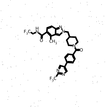 Cc1c(C(=O)NCC(F)(F)F)ccc2nn(CC3CCN(C(=O)c4ccc(-c5cnc(C(F)(F)F)nc5)cc4)CC3)cc12